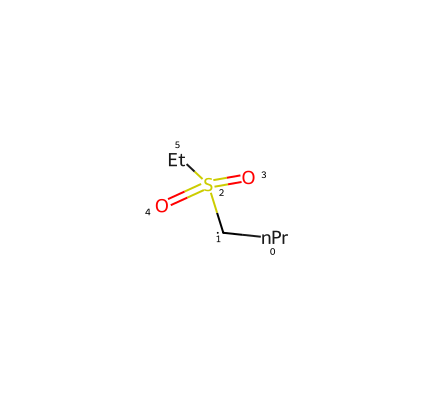 CCC[CH]S(=O)(=O)CC